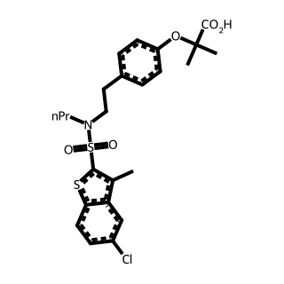 CCCN(CCc1ccc(OC(C)(C)C(=O)O)cc1)S(=O)(=O)c1sc2ccc(Cl)cc2c1C